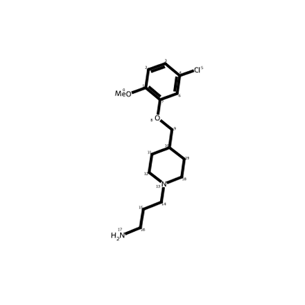 COc1ccc(Cl)cc1OCC1CCN(CCCN)CC1